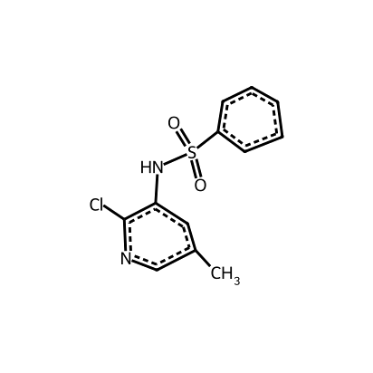 Cc1cnc(Cl)c(NS(=O)(=O)c2ccccc2)c1